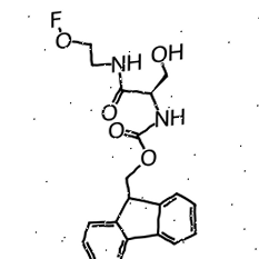 O=C(N[C@H](CO)C(=O)NCCOF)OCC1c2ccccc2-c2ccccc21